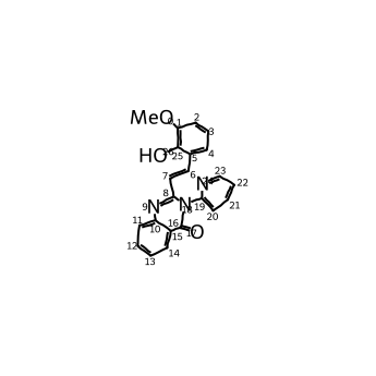 COc1cccc(C=Cc2nc3ccccc3c(=O)n2-c2ccccn2)c1O